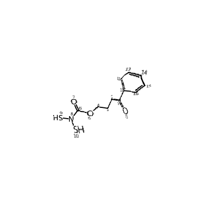 O=C(CCCOC(=O)N(S)S)c1ccccc1